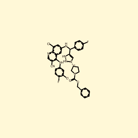 N#Cc1cnc2c(Cl)cc(NC(C3=CN([C@@H]4CCN(C(=O)OCc5ccccc5)C4)NN3)c3ccc(F)cc3)cc2c1Nc1ccc(F)c(Cl)c1